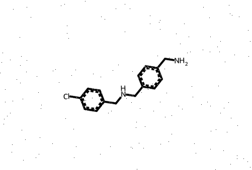 NCc1ccc(CNCc2ccc(Cl)cc2)cc1